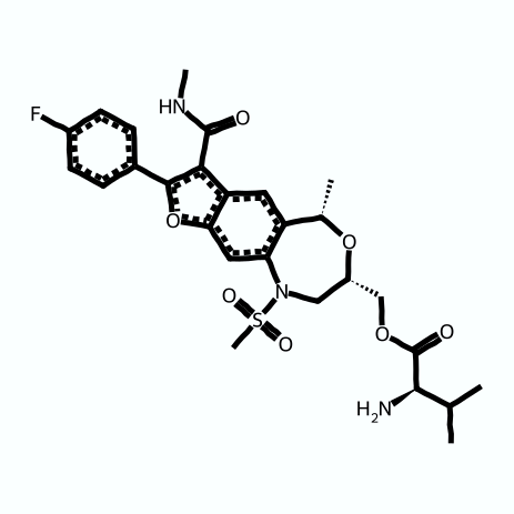 CNC(=O)c1c(-c2ccc(F)cc2)oc2cc3c(cc12)[C@H](C)O[C@H](COC(=O)[C@H](N)C(C)C)CN3S(C)(=O)=O